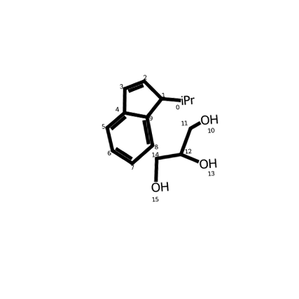 CC(C)C1C=Cc2ccccc21.OCC(O)CO